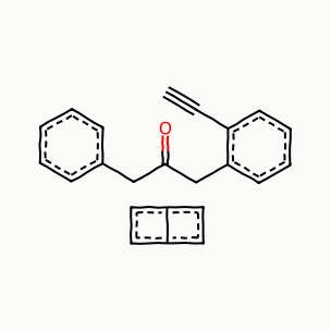 C#Cc1ccccc1CC(=O)Cc1ccccc1.c1cc2ccc1-2